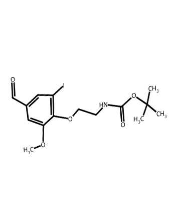 COc1cc(C=O)cc(I)c1OCCNC(=O)OC(C)(C)C